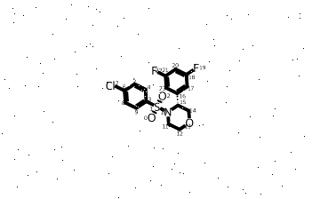 O=S(=O)(c1ccc(Cl)cc1)N1CCOC[C@H]1c1cc(F)cc(F)c1